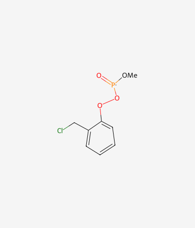 CO[P](=O)OOc1ccccc1CCl